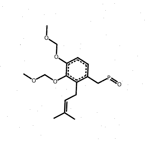 COCOc1ccc(CP=O)c(CC=C(C)C)c1OCOC